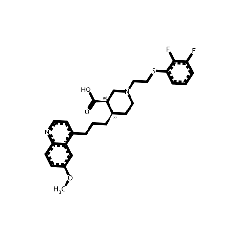 COc1ccc2nccc(CCC[C@@H]3CCN(CCSc4cccc(F)c4F)C[C@@H]3C(=O)O)c2c1